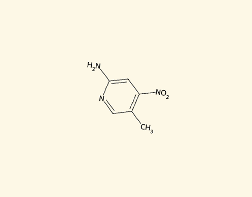 Cc1cnc(N)cc1[N+](=O)[O-]